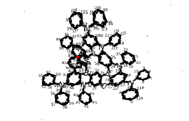 c1ccc(N(c2ccccc2)c2cc3c4c(c2)N(c2ccccc2)c2cc5c(cc2B4c2cc4c(cc2O3)N(c2ccccc2)c2cc(N(c3ccccc3)c3ccccc3)cc3c2B4c2sc4ccccc4c2O3)B2c3sc4ccccc4c3N(c3ccccc3)c3cc(N(c4ccccc4)c4ccccc4)cc(c32)N5c2ccccc2)cc1